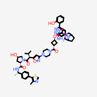 Cc1ncsc1-c1ccc([C@H](C)NC(=O)[C@@H]2C[C@@H](O)CN2C(=O)[C@H](c2cc(N3CCN(C(=O)[C@H]4C[C@H](Oc5cc(N6C7CCC6CN(c6cc(-c8ccccc8O)nnc6N)C7)ccn5)C4)CC3)no2)C(C)C)cc1